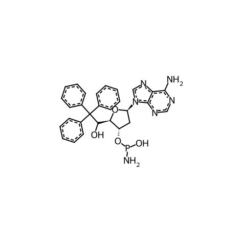 Nc1ncnc2c1ncn2[C@H]1C[C@H](OP(N)O)[C@@H](C(O)C(c2ccccc2)(c2ccccc2)c2ccccc2)O1